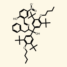 CCCCOc1c(C(C)(C)C)cc(C(O)(c2cc(C(C)(C)C)c(OCCCC)c(C(C)(C)C)c2)C(Cc2ccccc2)N=Cc2cc([N+](=O)[O-])ccc2O)cc1C(C)(C)C